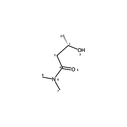 C[C@H](O)CC(=O)N(C)C